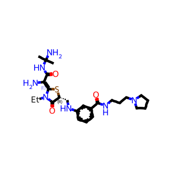 CCN1C(=O)[C@@H](CNc2cccc(C(=O)NCCCN3CCCC3)c2)S/C1=C(/N)C(=O)NC(C)(C)N